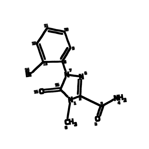 Cn1c(C(N)=O)nn(-c2ccccc2Br)c1=O